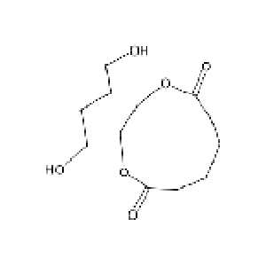 O=C1CCCCC(=O)OCCO1.OCCCCO